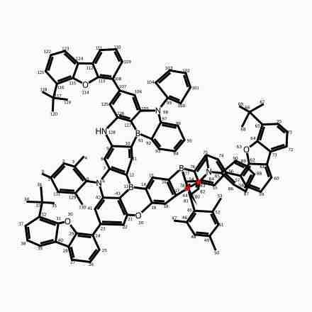 Cc1cc(C)c(N2c3cc4c(cc3B3c5cc6c(cc5Oc5cc(-c7cccc8c7oc7c(C(C)(C)C)cccc78)cc2c53)N(c2c(C)cc(C)cc2C)c2cc(-c3cccc5c3oc3c(C(C)(C)C)cccc35)cc3c2B6c2ccccc2N3c2ccccc2)B2c3ccccc3N(c3ccccc3)c3cc(-c5cccc6c5oc5c(C(C)(C)C)cccc56)cc(c32)N4)c(C)c1